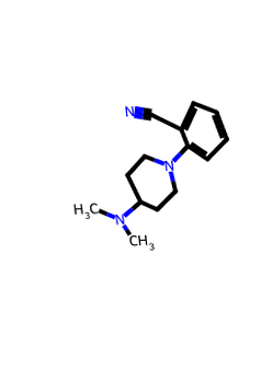 CN(C)C1CCN(c2ccccc2C#N)CC1